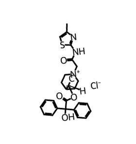 Cc1csc(NC(=O)C[N+]23CCC(CC2)[C@@H](OC(=O)C(O)(c2ccccc2)c2ccccc2)C3)n1.[Cl-]